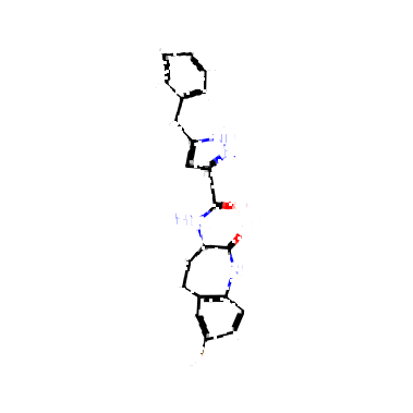 O=C(N[C@@H]1CCc2cc(Br)ccc2NC1=O)c1cc(Cc2ccccc2)[nH]n1